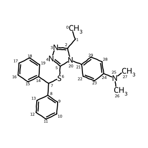 CCc1nnc(SC(c2ccccc2)c2ccccc2)n1-c1ccc(N(C)C)cc1